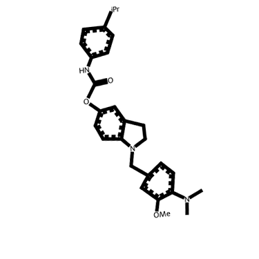 COc1cc(CN2CCc3cc(OC(=O)Nc4ccc(C(C)C)cc4)ccc32)ccc1N(C)C